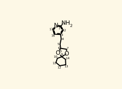 Nc1cc(CCC2COC3(CCCCC3)O2)ccn1